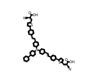 N#C/C(=C/c1ccc(-c2ccc(/C=C/c3ccc(N(c4ccc(/C=C/c5ccc(-c6ccc(/C=C(\C#N)C(=O)O)s6)cc5)cc4)c4ccc(-c5ccccc5)cc4)cc3)cc2)s1)C(=O)O